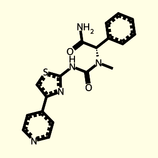 CN(C(=O)Nc1nc(-c2ccncc2)cs1)[C@H](C(N)=O)c1ccccc1